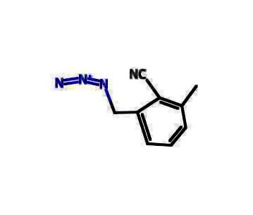 Cc1cccc(CN=[N+]=[N-])c1C#N